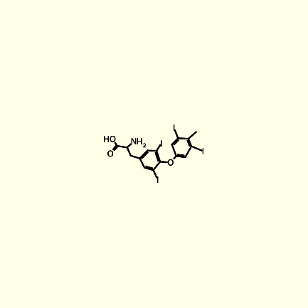 Cc1c(I)cc(Oc2c(I)cc(CC(N)C(=O)O)cc2I)cc1I